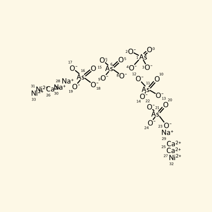 O=[As]([O-])([O-])[O-].O=[As]([O-])([O-])[O-].O=[As]([O-])([O-])[O-].O=[As]([O-])([O-])[O-].O=[As]([O-])([O-])[O-].[Ca+2].[Ca+2].[Ca+2].[Na+].[Na+].[Na+].[Ni+2].[Ni+2].[Ni+2]